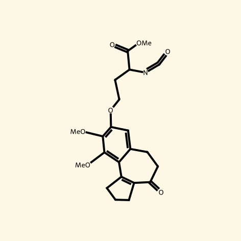 COC(=O)C(CCOc1cc2c(c(OC)c1OC)C1=C(CCC1)C(=O)CC2)N=C=O